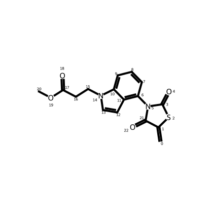 C=C1SC(=O)N(c2cccc3c2ccn3CCC(=O)OC)C1=O